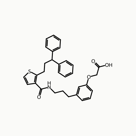 O=C(O)COc1cccc(CCCNC(=O)c2ccsc2CCC(c2ccccc2)c2ccccc2)c1